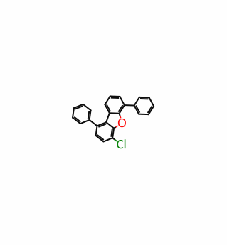 Clc1ccc(-c2ccccc2)c2c1oc1c(-c3ccccc3)cccc12